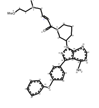 COCCN(C/C=C/C(=O)N1CCCC(n2nc(-c3ccc(Oc4ccccc4)cc3)c3c(N)ncnc32)C1)C(C)C